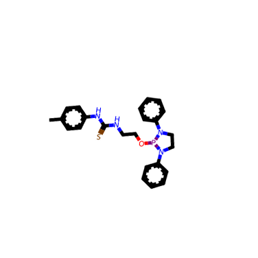 Cc1ccc(NC(=S)NCCOP2N(c3ccccc3)CCN2c2ccccc2)cc1